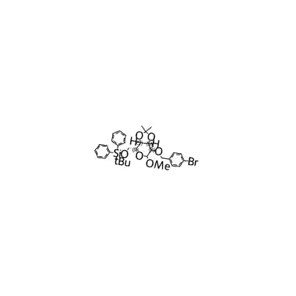 COC1O[C@H](CO[Si](c2ccccc2)(c2ccccc2)C(C)(C)C)[C@@H]2OC(C)(C)O[C@@H]2[C@H]1OCc1ccc(Br)cc1